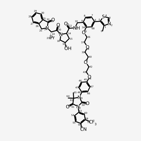 Cc1ncsc1-c1ccc(CNC(=O)C2C[C@@H](O)CN2C(=O)[C@H](C(C)C)N2Cc3ccccc3C2=O)c(OCCOCCOCCOc2ccc(N3C(=O)N(c4ccc(C#N)c(C(F)(F)F)c4)C(=O)C3(C)C)cc2)c1